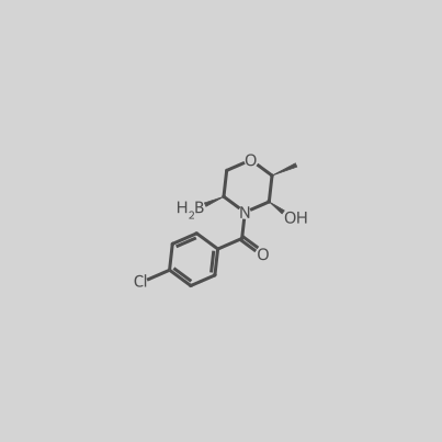 B[C@H]1CO[C@@H](C)[C@@H](O)N1C(=O)c1ccc(Cl)cc1